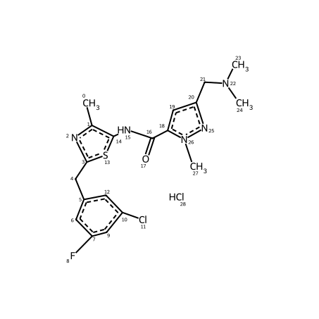 Cc1nc(Cc2cc(F)cc(Cl)c2)sc1NC(=O)c1cc(CN(C)C)nn1C.Cl